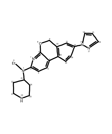 CCN(c1ccc2c(n1)OCc1cc(-n3cccn3)ccc1-2)C1CCNCC1